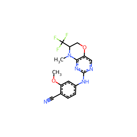 COc1cc(Nc2ncc3c(n2)N(C)C(C(F)(F)F)CO3)ccc1C#N